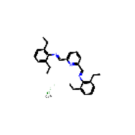 CCc1cccc(CC)c1N=Cc1cccc(C=Nc2c(CC)cccc2CC)n1.[Cl-].[Cl-].[Cl-].[Co+3]